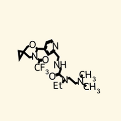 CCN(CCN(C)C)C(=O)CNCc1cc(C2OCC3(CC3)CN2C(=O)C(F)(F)F)ccn1